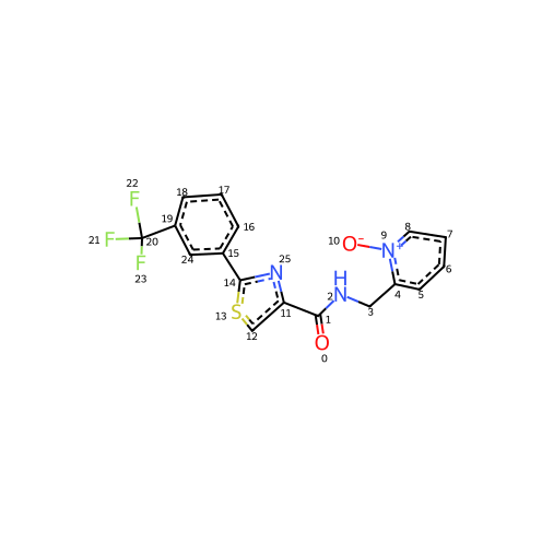 O=C(NCc1cccc[n+]1[O-])c1csc(-c2cccc(C(F)(F)F)c2)n1